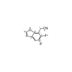 N#CCc1c(F)c(F)cc2ccoc12